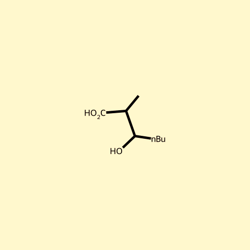 CCCCC(O)C(C)C(=O)O